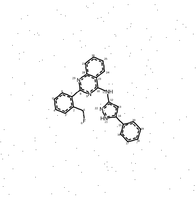 FCc1ccccc1-c1nc(Nc2cc(-c3ccccc3)[nH]n2)c2ccccc2n1